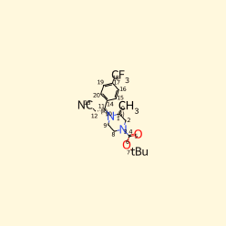 C[C@H]1CN(C(=O)OC(C)(C)C)CCN1[C@H](CC#N)c1ccc(C(F)(F)F)cc1